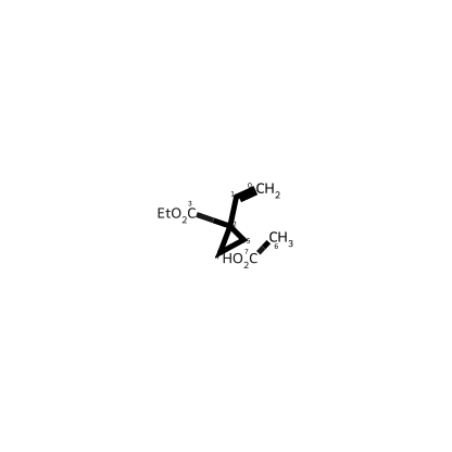 C=CC1(C(=O)OCC)CC1.CC(=O)O